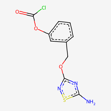 Nc1nc(OCc2cccc(OC(=O)Cl)c2)ns1